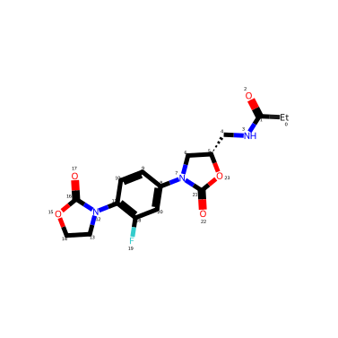 CCC(=O)NC[C@H]1CN(c2ccc(N3CCOC3=O)c(F)c2)C(=O)O1